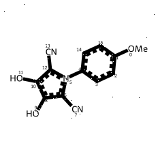 COc1ccc(-n2c(C#N)c(O)c(O)c2C#N)cc1